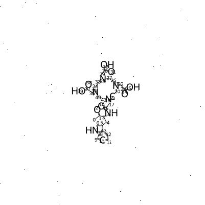 CC(=O)C(Cc1c[nH]c2ccccc12)NC(=O)CN1CCN(CC(=O)O)CCN(CC(=O)O)CCN(CC(=O)O)CC1